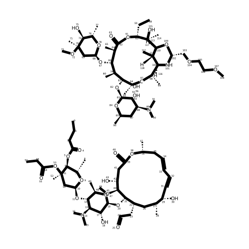 CCCC(=O)O[C@H]1[C@H](C)O[C@@H](O[C@H]2[C@H](N(C)C)[C@@H](O)[C@H](O[C@H]3[C@@H](CC=O)C[C@@H](C)[C@@H](O)/C=C/C=C/C[C@@H](C)OC(=O)C[C@@H](O)[C@@H]3OC)O[C@@H]2C)C[C@@]1(C)OC(=O)CC.CC[C@H]1OC(=O)[C@H](C)[C@@H](O[C@H]2C[C@@](C)(OC)[C@@H](O)[C@H](C)O2)[C@H](C)[C@@H](O[C@@H]2O[C@H](C)C[C@H](N(C)C)[C@H]2O)[C@](C)(O)C[C@@H](C)[C@@H]2N[C@@H](COCCOC)O[C@@H]([C@H]2C)[C@]1(C)O